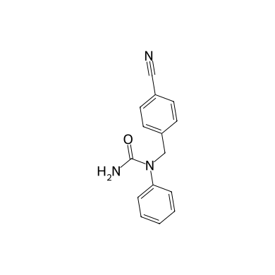 N#Cc1ccc(CN(C(N)=O)c2ccccc2)cc1